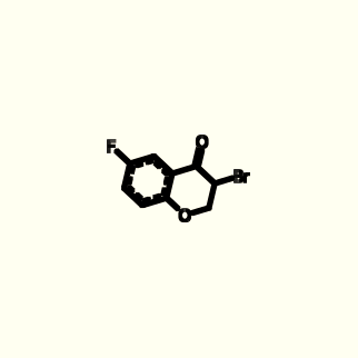 O=C1c2cc(F)ccc2OCC1Br